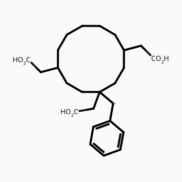 O=C(O)CC1CCCCCC(CC(=O)O)CCC([CH]c2ccccc2)(CC(=O)O)CC1